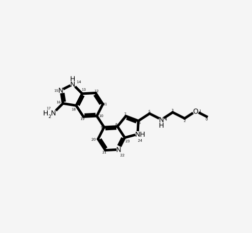 COCCNCc1cc2c(-c3ccc4[nH]nc(N)c4c3)ccnc2[nH]1